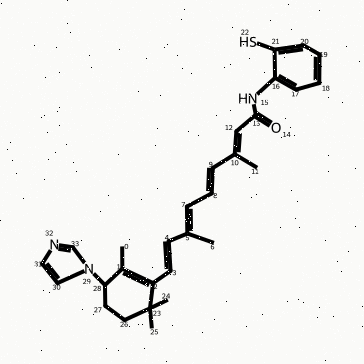 CC1=C(/C=C/C(C)=C/C=C/C(C)=C/C(=O)Nc2ccccc2S)C(C)(C)CCC1n1ccnc1